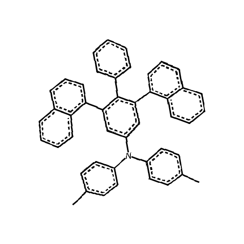 Cc1ccc(N(c2ccc(C)cc2)c2cc(-c3cccc4ccccc34)c(-c3ccccc3)c(-c3cccc4ccccc34)c2)cc1